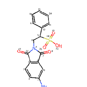 Nc1ccc2c(c1)C(=O)N(CC(c1ccccc1)S(=O)(=O)O)C2=O